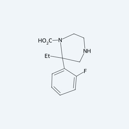 CCC1(c2ccccc2F)CNCCN1C(=O)O